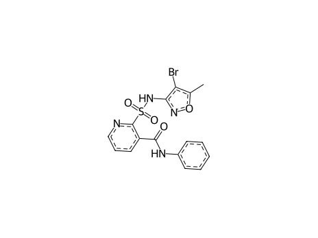 Cc1onc(NS(=O)(=O)c2ncccc2C(=O)Nc2ccccc2)c1Br